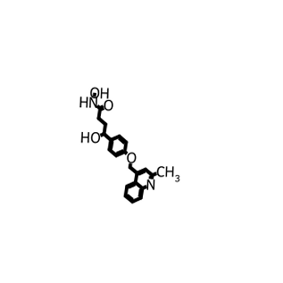 Cc1cc(COc2ccc(C(O)CCC(=O)NO)cc2)c2ccccc2n1